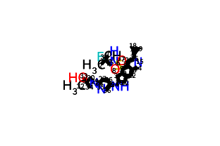 CC(C)(F)CNS(=O)(=O)c1c2c(cc3cnc(C4CC4)cc13)CC(Nc1ccc(N3CC(C)(O)C3)nc1)C2